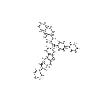 C1=CC(c2nc3cc4c(cc3o2)oc2cc(N(c3ccc(-c5ccccc5)cc3)c3ccc5c(ccc6ccccc65)c3)ccc24)=CCC1